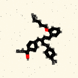 COC(=O)c1ccc(CC(C=Cc2ccccc2OCCCCC(F)(F)F)CCc2ccc(C#N)cc2)cc1